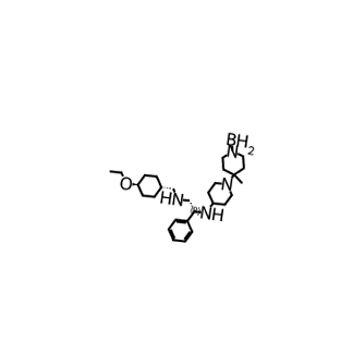 BN1CCC(C)(N2CCC(N[C@@H](CNC[C@H]3CC[C@H](OCC)CC3)c3ccccc3)CC2)CC1